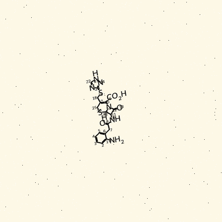 Nc1ccccc1CC(=O)NC1C(=O)N2C(C(=O)O)=C(CSc3nc[nH]n3)CS[C@H]12